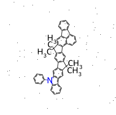 CC1(C)c2cc3c(cc2-c2cc4c(cc21)c1ccccc1n4-c1ccccc1)C(C)(C)c1cc2c4c(cccc4c1-3)-c1ccccc1-2